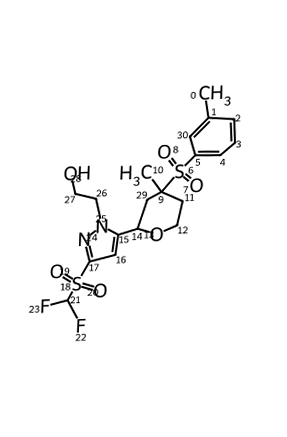 Cc1cccc(S(=O)(=O)C2(C)CCOC(c3cc(S(=O)(=O)C(F)F)nn3CCO)C2)c1